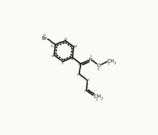 C=CCCC(=NOC)c1ccc(Br)cc1